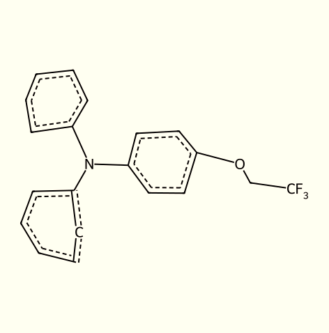 FC(F)(F)COc1ccc(N(c2ccccc2)c2ccccc2)cc1